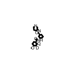 COc1ccc(C(=O)Nc2cccc(-c3nc4cnccc4o3)c2)c(OC)c1OC